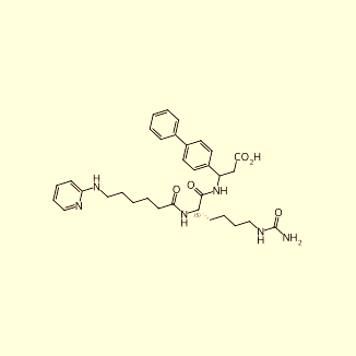 NC(=O)NCCCC[C@H](NC(=O)CCCCCNc1ccccn1)C(=O)NC(CC(=O)O)c1ccc(-c2ccccc2)cc1